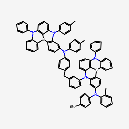 Cc1ccc(N(c2ccc(Cc3cccc(N4c5cc(N(c6ccc(C(C)(C)C)cc6)c6ccccc6C)ccc5B5c6ccccc6N(c6ccccc6)c6cccc4c65)c3)cc2)c2ccc3c(c2)N(c2ccc(C)cc2)c2cccc4c2B3c2ccccc2N4c2ccccc2)cc1